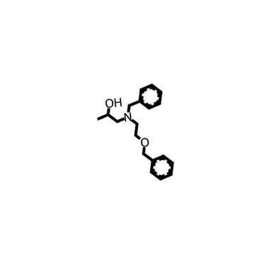 CC(O)CN(CCOCc1ccccc1)Cc1ccccc1